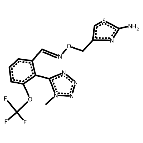 Cn1nnnc1-c1c(C=NOCc2csc(N)n2)cccc1OC(F)(F)F